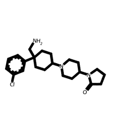 NCC1(c2cccc(Cl)c2)CCC(N2CCC(N3CCCC3=O)CC2)CC1